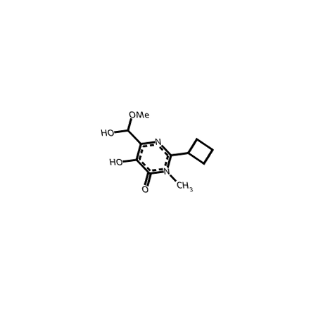 COC(O)c1nc(C2CCC2)n(C)c(=O)c1O